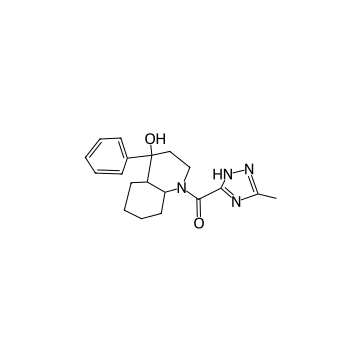 Cc1n[nH]c(C(=O)N2CCC(O)(c3ccccc3)C3CCCCC32)n1